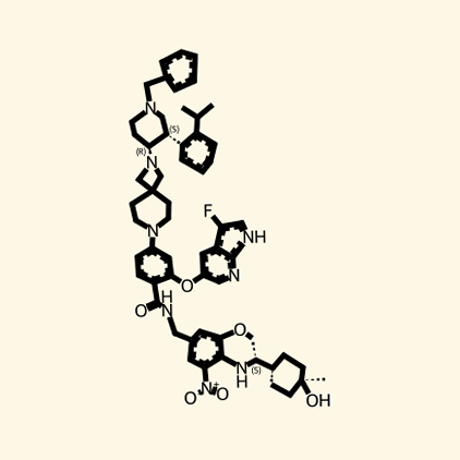 CC(C)c1ccccc1[C@H]1CN(Cc2ccccc2)CC[C@H]1N1CC2(CCN(c3ccc(C(=O)NCc4cc5c(c([N+](=O)[O-])c4)N[C@@H]([C@H]4CC[C@](C)(O)CC4)CO5)c(Oc4cnc5[nH]cc(F)c5c4)c3)CC2)C1